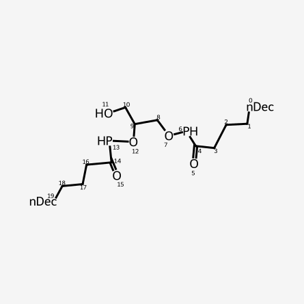 CCCCCCCCCCCCCC(=O)POCC(CO)OPC(=O)CCCCCCCCCCCCC